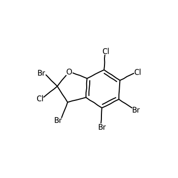 Clc1c(Cl)c2c(c(Br)c1Br)C(Br)C(Cl)(Br)O2